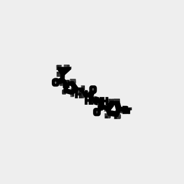 O=C(NC[C@@H]1CCN(C(=O)C2CC2)C1)NNC(=O)c1ccc(Br)cc1